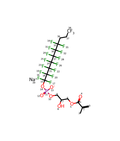 C=C(C)C(=O)OCC(O)COP(=O)([O-])OC(F)(F)C(F)(F)C(F)(F)C(F)(F)C(F)(F)C(F)(F)C(F)(F)CCC(F)(F)F.[Na+]